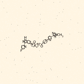 Cn1cnc(-c2ccc(N3CCN(C(=O)CN4CC[C@]5(CCN(c6ccc7[nH]nc(-c8ccc(F)cn8)c7c6)C5=O)C4)CC3)nc2)n1